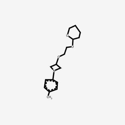 Cc1ccc(N2CC(OCCOC3CCCCO3)C2)cc1